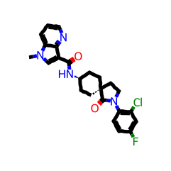 Cn1cc(C(=O)N[C@H]2CC[C@@]3(CCN(c4ccc(F)cc4Cl)C3=O)CC2)c2ncccc21